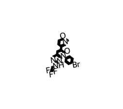 Cn1cc(-c2cc3cnc(NCC(F)(F)F)nc3n(-c3ccc(Br)cc3)c2=O)ccc1=O